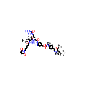 CC(=O)[C@H](C(C)C)N(C)CCc1ccc(N(C)C(=O)OCc2ccc(NC(=O)[C@H](CCCNC(N)=O)NC(=O)[C@@H](NC(=O)CCCCCN3C(=O)C=CC3=O)C(C)C)cc2)cc1